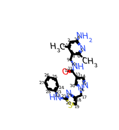 Cc1cc(N)nc(C)c1CNC(=O)c1cnn(Cc2csc(Nc3ccccc3)n2)c1